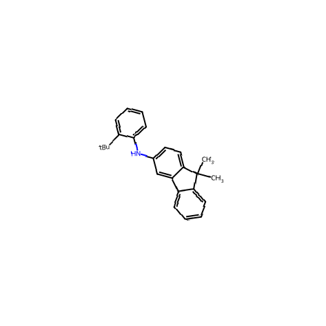 CC(C)(C)c1ccccc1Nc1ccc2c(c1)-c1ccccc1C2(C)C